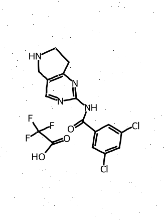 O=C(Nc1ncc2c(n1)CCNC2)c1cc(Cl)cc(Cl)c1.O=C(O)C(F)(F)F